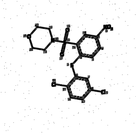 O=[N+]([O-])c1ccc(Sc2cc(Cl)ccc2Cl)c(S(=O)(=O)N2CCOCC2)c1